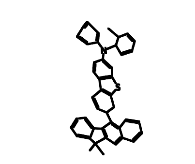 CC1C=CC=CC1N(c1ccccc1)c1ccc2c3c(sc2c1)CC(c1c2c(cc4ccccc14)C(C)(C)c1ccccc1-2)C=C3